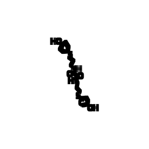 O=C(NCCCSc1ccc(O)cc1)C(=O)NCCCSc1ccc(O)cc1